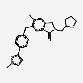 Cc1cc2c(cc1Cc1ccc(-c3ccn(C)n3)cc1)C(=O)N(CC1CCCO1)C2